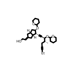 CCC#CC[C@@H](C)[C@@H](C#C[C@@H]1[C@H]2C/C(=C/CO)C[C@H]2C[C@H]1OC1CCCCO1)OC1CCCCO1